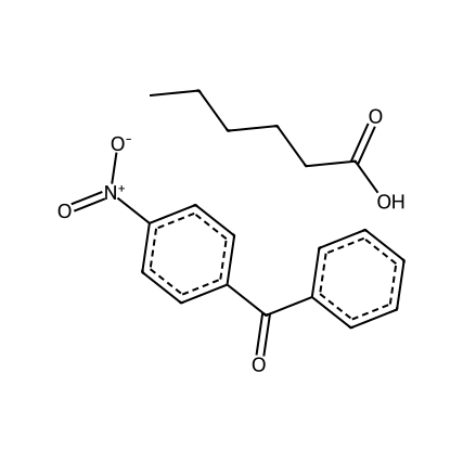 CCCCCC(=O)O.O=C(c1ccccc1)c1ccc([N+](=O)[O-])cc1